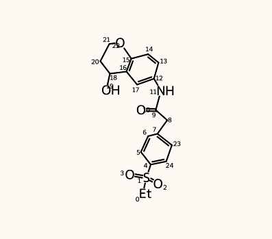 CCS(=O)(=O)c1ccc(CC(=O)Nc2ccc3c(c2)C(O)CCO3)cc1